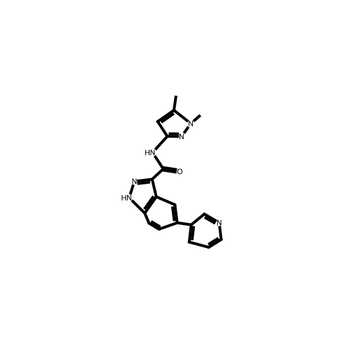 Cc1cc(NC(=O)c2n[nH]c3ccc(-c4cccnc4)cc23)nn1C